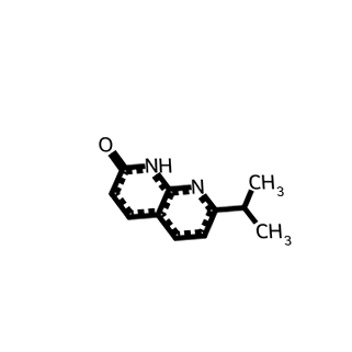 CC(C)c1ccc2ccc(=O)[nH]c2n1